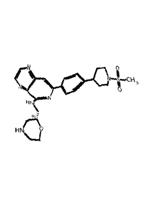 CS(=O)(=O)N1CCC(c2ccc(-c3cc4nccnc4c(NC[C@H]4CNCCO4)n3)cc2)CC1